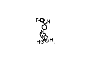 CCC1CN(C2CCC(C#N)(c3cccc(F)c3)CC2)CCCN1C(=O)O